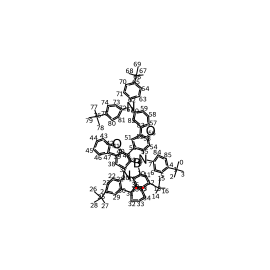 CC(C)(C)c1ccc(N2B3c4cc(C(C)(C)C)ccc4N(c4ccc(C(C)(C)C)cc4-c4ccccc4)c4cc5c(oc6ccccc65)c(c43)-c3cc4c(cc32)oc2ccc(N(c3ccc(C(C)(C)C)cc3)c3ccc(C(C)(C)C)cc3)cc24)cc1